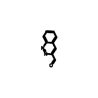 O=Cc1cc2cc[c]cc2nn1